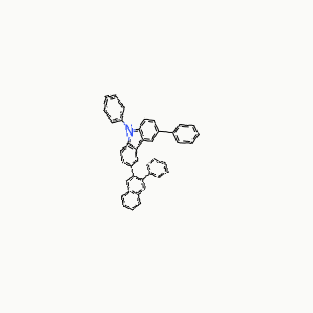 c1ccc(-c2ccc3c(c2)c2cc(-c4cc5ccccc5cc4-c4ccccc4)ccc2n3-c2ccccc2)cc1